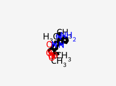 CCN(C)c1c2c(nc3cccc(N)c13)-c1cc3c(c(=O)n1C2)COC(=O)[C@@]3(CC)OC(C)=O